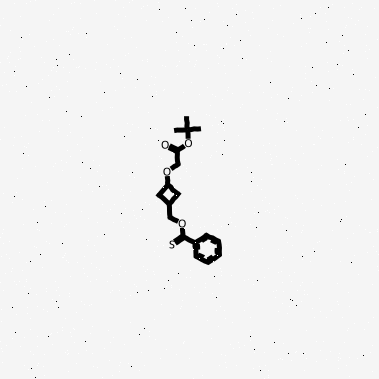 CC(C)(C)OC(=O)COC1CC(COC(=S)c2ccccc2)C1